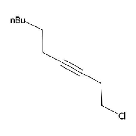 CCCCCCC#CCCCl